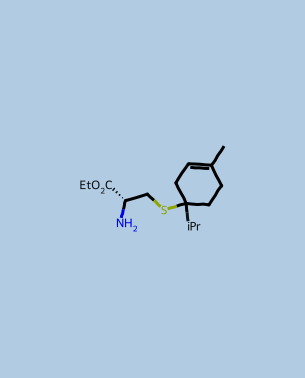 CCOC(=O)[C@@H](N)CSC1(C(C)C)CC=C(C)CC1